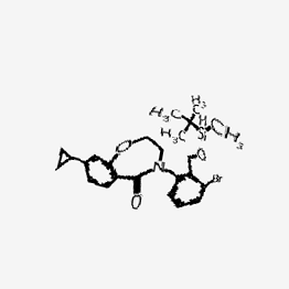 C[SiH](OCc1c(Br)cccc1N1CCOc2cc(C3CC3)ccc2C1=O)C(C)(C)C